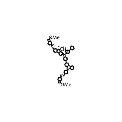 COC1Cc2ccc(OCc3ccc(-n4c5ccccc5c5cc(-c6ccc(N(c7ccc(-c8ccccc8)cc7)c7ccc8c(c7)C(C)(C)c7cc(COc9ccc%10c(c9)C(OC)C%10)ccc7-8)cc6)ccc54)cc3)cc21